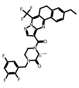 CCc1ccc2c(c1)CCc1c-2nc2c(C(=O)N3CCN(Cc4cc(F)cc(F)c4F)C(=O)[C@H]3C)cnn2c1C(F)(F)F